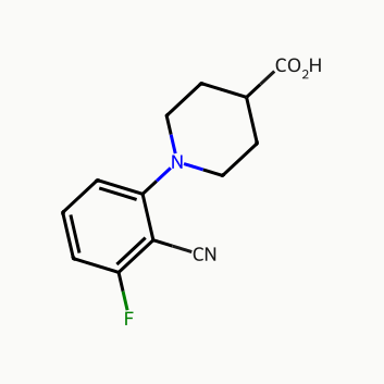 N#Cc1c(F)cccc1N1CCC(C(=O)O)CC1